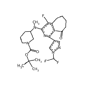 CN(c1nc(-c2cnn(C(F)F)c2)c2c(c1F)CCCCC2=O)C1CCCN(C(=O)OC(C)(C)C)C1